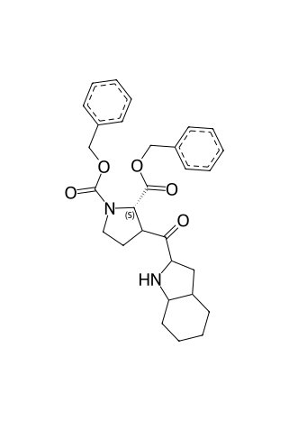 O=C(C1CC2CCCCC2N1)C1CCN(C(=O)OCc2ccccc2)[C@@H]1C(=O)OCc1ccccc1